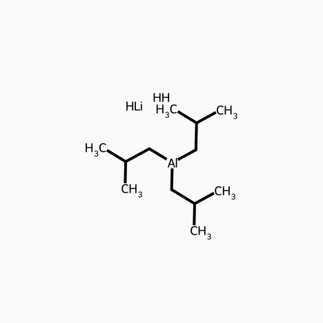 CC(C)[CH2][Al]([CH2]C(C)C)[CH2]C(C)C.[HH].[LiH]